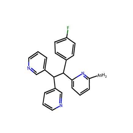 Fc1ccc(C(c2cccc([AsH2])n2)C(c2cccnc2)c2cccnc2)cc1